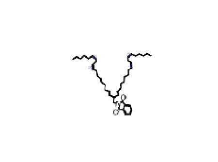 CCCCC/C=C\C/C=C\CCCCCCCCC(CCCCCCCC/C=C\C/C=C\CCCCC)CN1C(=O)c2ccccc2C1=O